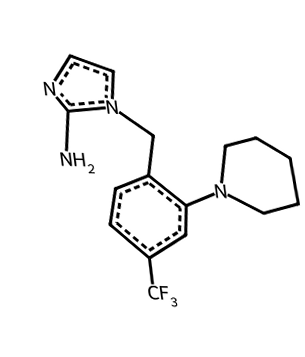 Nc1nccn1Cc1ccc(C(F)(F)F)cc1N1CCCCC1